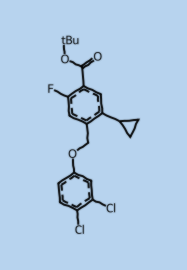 CC(C)(C)OC(=O)c1cc(C2CC2)c(COc2ccc(Cl)c(Cl)c2)cc1F